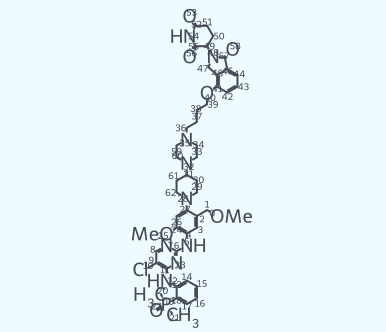 COCc1cc(Nc2ncc(Cl)c(Nc3ccccc3P(C)(C)=O)n2)c(OC)cc1N1CCC(N2CCN(CCCCOc3cccc4c3CN(C3CCC(=O)NC3=O)C4=O)CC2)CC1